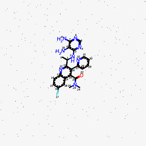 CC(Nc1ncnc(N)c1N)c1nc2ccc(F)cc2c(C(=O)N(C)C)c1-c1ccccn1